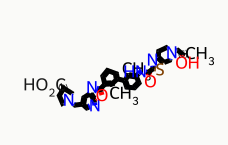 Cc1c(NC(=O)c2nc3c(s2)CN(C[C@H](C)O)CC3)cccc1-c1cccc(-c2nc3cc(CN4CC[C@@H](C(=O)O)C4)cnc3o2)c1C